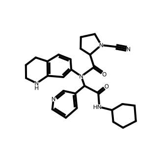 N#CN1CCCC1C(=O)N(c1ccc2c(c1)NCCC2)C(C(=O)NC1CCCCC1)c1cccnc1